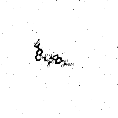 CNC(=O)Nc1ccc2c(c1)CCC21OC(=O)N(CC(=O)N2CCCc3cc(-c4cnn(C)c4)ccc32)C1=O